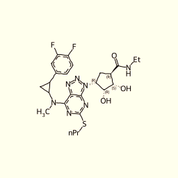 CCCSc1nc(N(C)C2CC2c2ccc(F)c(F)c2)c2nnn([C@@H]3C[C@@H](C(=O)NCC)[C@H](O)[C@@H]3O)c2n1